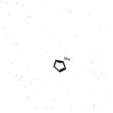 C1=CCC=C1.[Mo]